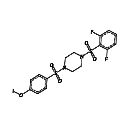 O=S(=O)(c1ccc(OI)cc1)N1CCN(S(=O)(=O)c2c(F)cccc2F)CC1